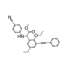 [CH2]COc1c(C#Cc2ccccc2)cc(CC)cc1C(Nc1ccc(C#N)cc1)C(=O)OC